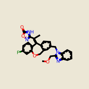 COCc1nc2ccccc2n1Cc1ccc2c(c1)COc1cc(F)ccc1/C2=C(/C)c1noc(=O)[nH]1